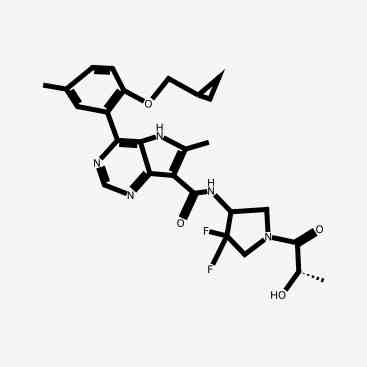 Cc1ccc(OCC2CC2)c(-c2ncnc3c(C(=O)NC4CN(C(=O)[C@H](C)O)CC4(F)F)c(C)[nH]c23)c1